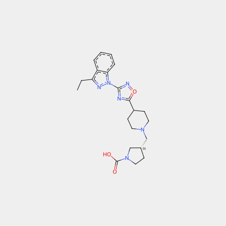 CCc1nn(-c2noc(C3CCN(C[C@@H]4CCN(C(=O)O)C4)CC3)n2)c2ccccc12